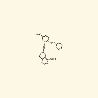 COc1ccc(OCc2ccccc2)c(C#Cc2ccc3ncnc(OC)c3c2)c1